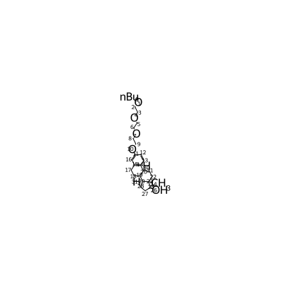 CCCCOCCOCCOCCOc1ccc2c(c1)CCC1[C@@H]2CCC2(C)C(O)CC[C@@H]12